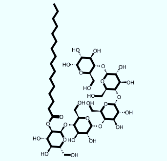 CCCCCCCCCCCCCCCC(=O)O[C@H]1[C@@H](O[C@H]2[C@H](O)[C@@H](O)[C@@H](O[C@H]3[C@H](O)[C@@H](O)[C@@H](O[C@H]4[C@H](O)[C@@H](O)[C@@H](O[C@H]5[C@H](O)[C@@H](O)[C@@H](O)O[C@@H]5CO)O[C@@H]4CO)O[C@@H]3CO)O[C@@H]2CO)O[C@H](CO)[C@@H](O)[C@@H]1O